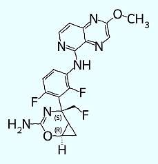 COc1cnc2c(Nc3ccc(F)c([C@@]4(CF)N=C(N)O[C@@H]5CC54)c3F)nccc2n1